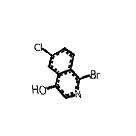 Oc1cnc(Br)c2ccc(Cl)cc12